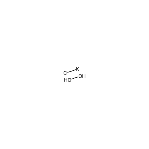 OO.[Cl][K]